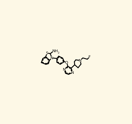 NC1Sc2ccccc2N1c1ccc(Oc2nccnc2C2CCN(CCF)CC2)cc1